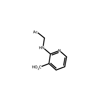 CC(=O)CNc1ncccc1C(=O)O